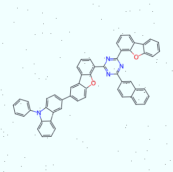 c1ccc(-n2c3ccccc3c3cc(-c4ccc5oc6c(-c7nc(-c8ccc9ccccc9c8)nc(-c8cccc9c8oc8ccccc89)n7)cccc6c5c4)ccc32)cc1